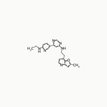 CCNc1ccc(-c2cc(NCCc3ccnc4cc(C)oc34)ncn2)cn1